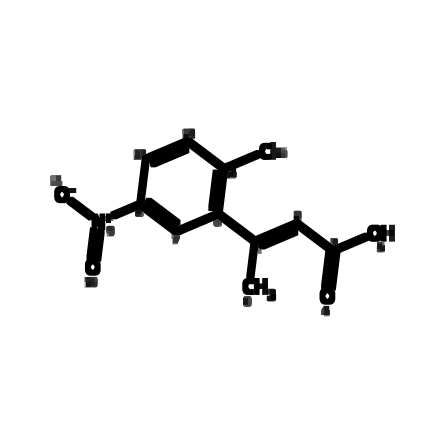 CC(=CC(=O)O)c1cc([N+](=O)[O-])ccc1Cl